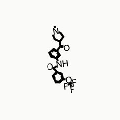 CN1CCC(C(=O)c2cccc(NC(=O)c3cccc(OC(F)(F)F)c3)c2)CC1